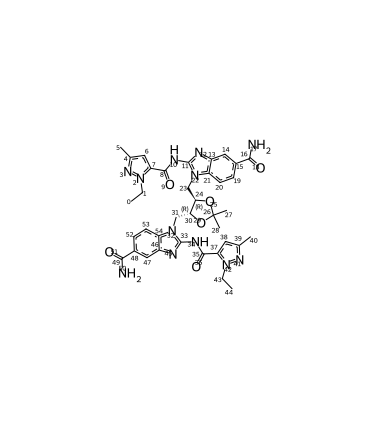 CCn1nc(C)cc1C(=O)Nc1nc2cc(C(N)=O)ccc2n1C[C@H]1OC(C)(C)O[C@@H]1Cn1c(NC(=O)c2cc(C)nn2CC)nc2cc(C(N)=O)ccc21